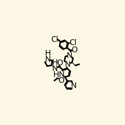 CCOC1(c2cccnc2)C=CC(N2CCN(C(=O)c3ccc(Cl)cc3Cl)C[C@H]2CC)=C(C(=O)N[C@@H]2CCNC2)N1